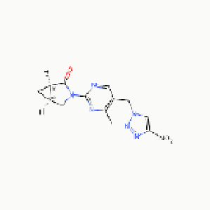 Cc1nc(N2C[C@H]3C[C@H]3C2=O)ncc1Cn1cc([N+](=O)[O-])nn1